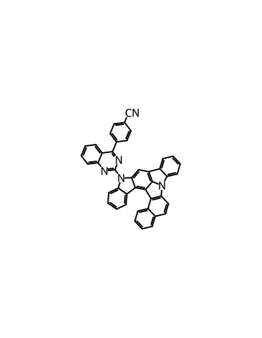 N#Cc1ccc(-c2nc(-n3c4ccccc4c4c5c6c7ccccc7ccc6n6c7ccccc7c(cc43)c56)nc3ccccc23)cc1